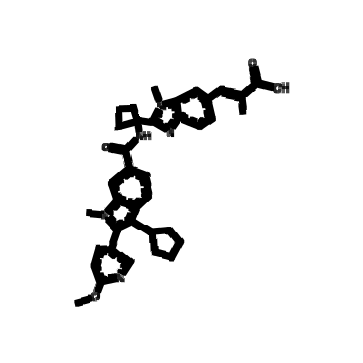 COc1ccc(-c2c(C3CCCC3)c3ccc(C(=O)NC4(c5nc6ccc(/C=C(\C)C(=O)O)cc6n5C)CCC4)cc3n2C)cn1